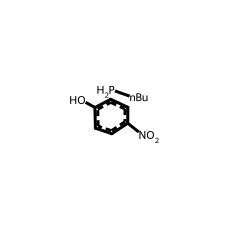 CCCCP.O=[N+]([O-])c1ccc(O)cc1